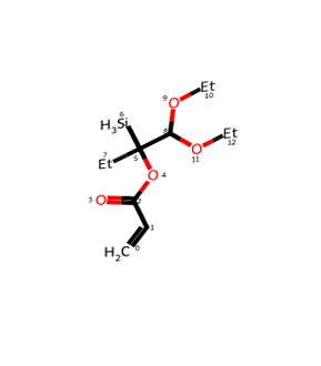 C=CC(=O)OC([SiH3])(CC)C(OCC)OCC